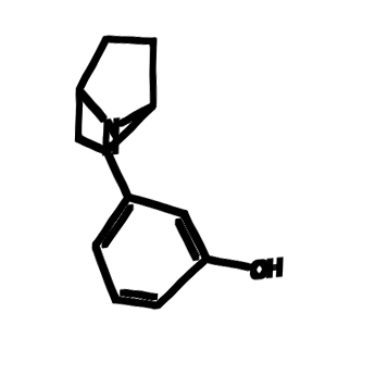 Oc1cccc(C2CC3CCC2N3)c1